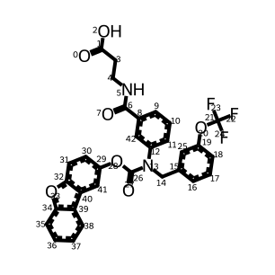 O=C(O)CCNC(=O)c1cccc(N(Cc2cccc(OC(F)(F)F)c2)C(=O)Oc2ccc3oc4ccccc4c3c2)c1